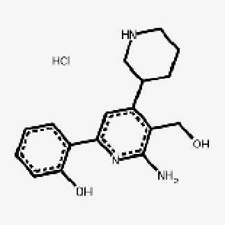 Cl.Nc1nc(-c2ccccc2O)cc(C2CCCNC2)c1CO